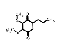 CCCC1CC(=O)C(SC)C(SC)C1=O